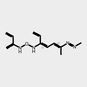 C=CC(=C)NON/C(C=C)=C/C=C(\C)N=NC